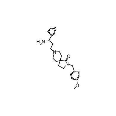 COc1ccc(CN2CCC3(CCN(CC[C@H](N)c4ccsc4)CC3)C2=O)cc1